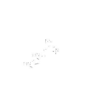 CCCn1cc(-c2ccncc2/C=C/C(=O)Nc2ccc3cc[nH]c3c2)cn1